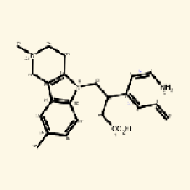 C=C/C=C(\C=C/N)C(CC(=O)OCC)Cn1c2c(c3cc(C)ccc31)CN(C)CC2